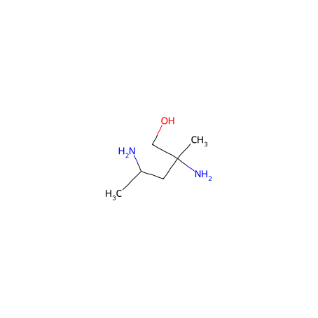 CC(N)CC(C)(N)CO